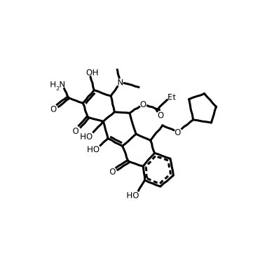 CCC(=O)OC1C2C(=C(O)C3(O)C(=O)C(C(N)=O)=C(O)C(N(C)C)C13)C(=O)c1c(O)cccc1C2COC1CCCC1